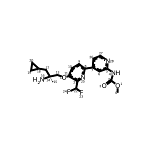 COC(=O)Nc1cc(-c2ccc(OC[C@@](C)(N)CC3CC3)c(C(F)F)n2)ccn1